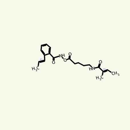 C/C=C/c1ccccc1C(=O)NOC(=O)CCCCNC(=O)/C(C)=C/C